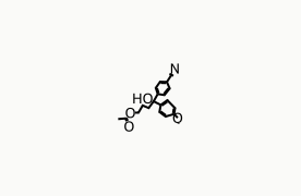 COc1ccc(C(O)(CCCOC(C)=O)c2ccc(C#N)cc2)cc1